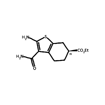 CCOC(=O)[C@H]1CCc2c(sc(N)c2C(N)=O)C1